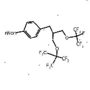 CCCCCCCCCc1ccc(CC(COC(F)(C(F)(F)F)C(F)(F)F)COC(C(F)(F)F)(C(F)(F)F)C(F)(F)F)cc1